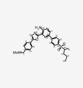 CNCc1ccc(-c2nnc(-c3nc(-c4ccc(S(=O)(=O)C(C)CCF)cc4)cnc3N)o2)cc1